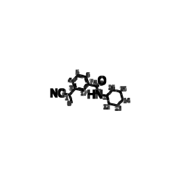 CC(C#N)c1cccc(C(=O)NC2CCCCC2)c1